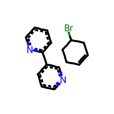 BrC1CC=CCC1.c1ccc(-c2cccnc2)nc1